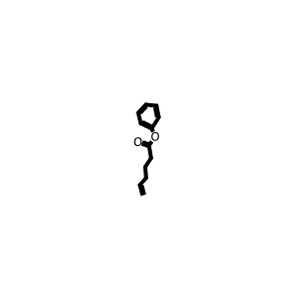 C=CCCCC(=O)Oc1ccccc1